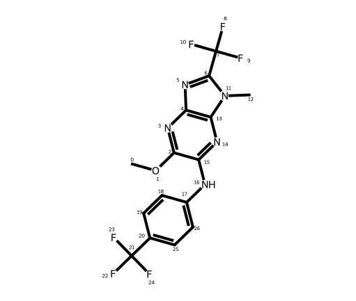 COc1nc2nc(C(F)(F)F)n(C)c2nc1Nc1ccc(C(F)(F)F)cc1